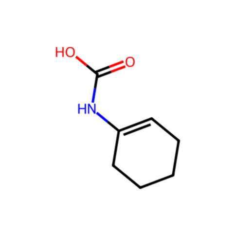 O=C(O)NC1=CCCCC1